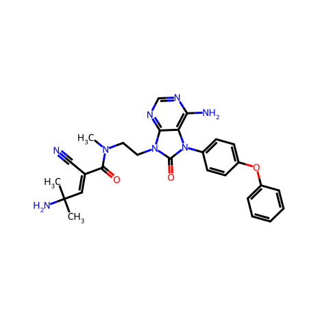 CN(CCn1c(=O)n(-c2ccc(Oc3ccccc3)cc2)c2c(N)ncnc21)C(=O)C(C#N)=CC(C)(C)N